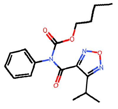 CCCCOC(=O)N(C(=O)c1nonc1C(C)C)c1ccccc1